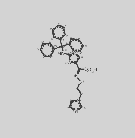 O=C(O)/C(=N\OCCn1ccnc1)c1csc(NC(c2ccccc2)(c2ccccc2)c2ccccc2)n1